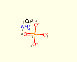 O=P([O-])([O-])[O-].[Cu+2].[NH4+]